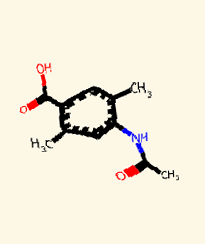 CC(=O)Nc1cc(C)c(C(=O)O)cc1C